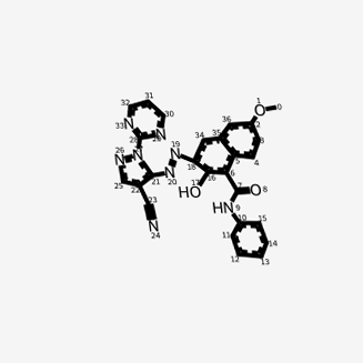 COc1ccc2c(C(=O)Nc3ccccc3)c(O)c(/N=N/c3c(C#N)cnn3-c3ncccn3)cc2c1